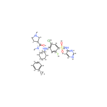 CN1CCC(C(=O)N(C)[C@H]2C[C@@H](c3cccc(C(F)(F)F)c3)CC[C@@H]2Nc2cc(F)c(S(=O)(=O)Nc3ccncn3)cc2Cl)C1